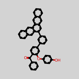 O=C(c1ccccc1)c1ccc(-c2cccc(-c3cc4cc5ccccc5cc4c4cc5ccccc5cc34)c2)cc1Oc1ccc(O)cc1